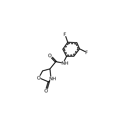 O=C1NC(C(=O)Nc2cc(F)cc(F)c2)CO1